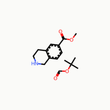 CC(C)(C)OC=O.COC(=O)c1ccc2c(c1)CCNC2